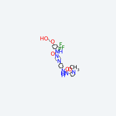 COc1ncccc1NC(=O)Nc1ccc(N2CCN(C(=O)Nc3ccc(OCCO)cc3C(F)(F)F)CC2)cc1